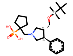 CC(C)(C)[Si](C)(C)OC[C@H]1CN(CC2(P(=O)(O)O)CCCC2)C[C@@H]1c1ccccc1